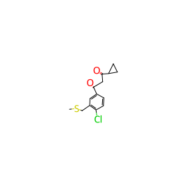 CSCc1cc(C(=O)CC(=O)C2CC2)ccc1Cl